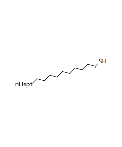 CCCCCCCCCCCCCCCC[CH]S